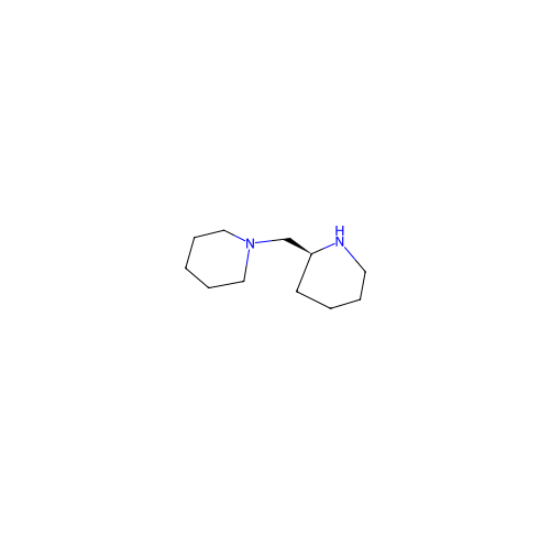 C1CCN(C[C@@H]2CCCCN2)CC1